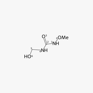 CONC(=O)NCO